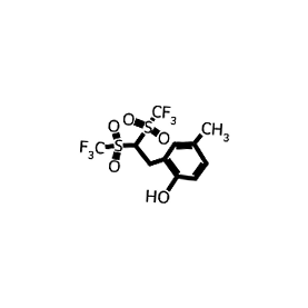 Cc1ccc(O)c(CC(S(=O)(=O)C(F)(F)F)S(=O)(=O)C(F)(F)F)c1